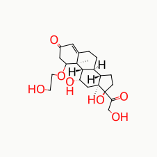 C[C@]12C[C@H](O)[C@H]3[C@@H](CCC4=CC(=O)CC(OCCO)[C@@]43C)[C@@H]1CC[C@]2(O)C(=O)CO